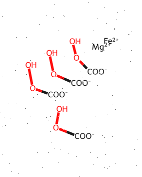 O=C([O-])OO.O=C([O-])OO.O=C([O-])OO.O=C([O-])OO.[Fe+2].[Mg+2]